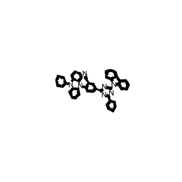 N#Cc1cc(-c2nc(-c3ccccc3)nc(-n3c4ccccc4c4ccccc43)n2)ccc1N1c2ccccc2N(c2ccccc2)c2ccccc21